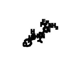 CC(C)c1nc(-c2cnc(N)c(C(F)(F)F)c2)cn1C12C3C(N4CCCOCC4)C[C@@H]1[C@H]32